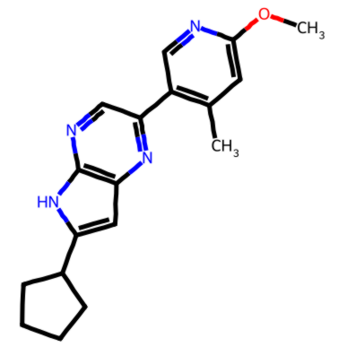 COc1cc(C)c(-c2cnc3[nH]c(C4CCCC4)cc3n2)cn1